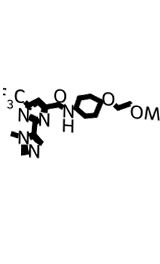 COCCO[C@H]1CC[C@H](NC(=O)c2cc(C(F)(F)F)nc(-c3cncn3C)n2)CC1